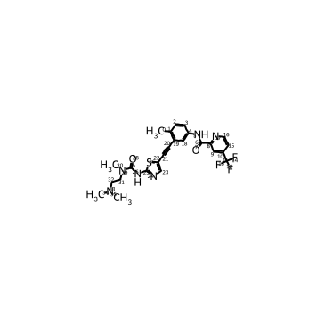 Cc1ccc(NC(=O)c2cc(C(F)(F)F)ccn2)cc1C#Cc1cnc(NC(=O)N(C)CCN(C)C)s1